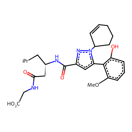 COc1cccc(O)c1-c1cc(C(=O)N[C@H](CC(=O)NCC(=O)O)CC(C)C)nn1C1C=CCCC1